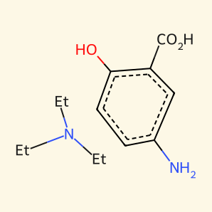 CCN(CC)CC.Nc1ccc(O)c(C(=O)O)c1